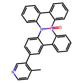 Cc1ccncc1-c1ccc2c(c1)-c1ccccc1P1(=O)c3ccccc3-c3ccccc3N21